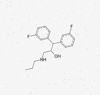 CCCNCC(O)C(c1cccc(F)c1)c1cccc(F)c1